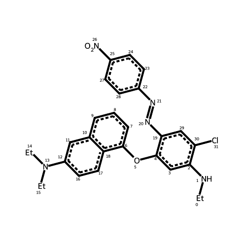 CCNc1cc(Oc2cccc3cc(N(CC)CC)ccc23)c(/N=N/c2ccc([N+](=O)[O-])cc2)cc1Cl